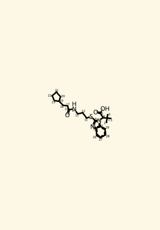 CC(C)(C)C(C(=O)O)n1c(SCCCNC(=O)CCC2CCCC2)nc2ccccc21